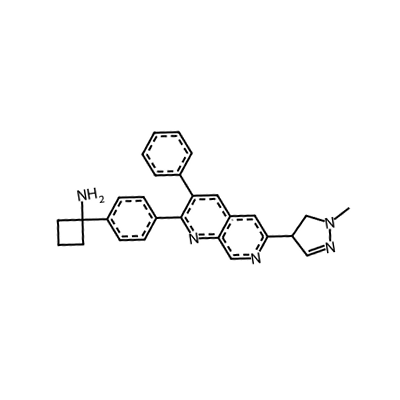 CN1CC(c2cc3cc(-c4ccccc4)c(-c4ccc(C5(N)CCC5)cc4)nc3cn2)C=N1